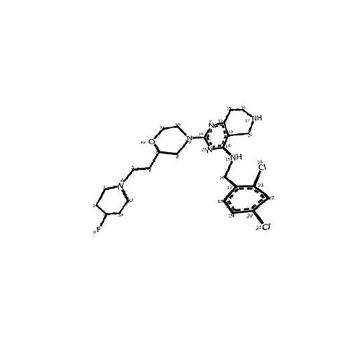 FC1CCN(CCC2CN(c3nc4c(c(NCc5ccc(Cl)cc5Cl)n3)CNCC4)CCO2)CC1